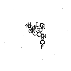 Cn1cc(S(=O)(=O)N2CCC3=Cc4c(cnn4-c4ccc(F)cc4)C[C@]3(COc3ncccc3C(F)(F)F)C2)cn1